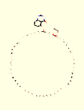 O=c1[nH]cnc2cccc(OC3CCCCCCCCCCCCCCCCCCCCCCCCCCCCCCCCCCCCCCCCCCCCCCCCC4(CC3)OCCO4)c12